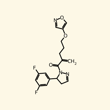 C=C(CCCOc1cnoc1)C(=O)N1N=CCC1c1cc(F)cc(F)c1